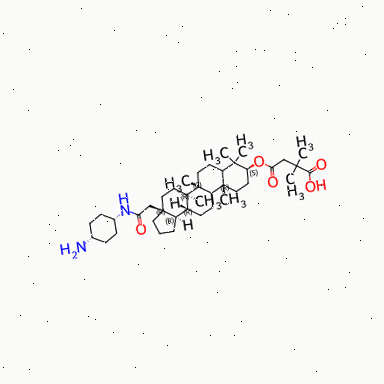 CC(C)(CC(=O)O[C@H]1CC[C@@]2(C)C(CC[C@]3(C)C2CC[C@@H]2[C@H]4CCC[C@]4(CC(=O)N[C@H]4CC[C@@H](N)CC4)CC[C@]23C)C1(C)C)C(=O)O